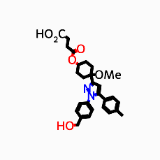 COC1(c2cc(-c3ccc(C)cc3)n(-c3ccc(CO)cc3)n2)CCC(OC(=O)CCC(=O)O)CC1